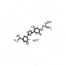 CC(C)N(C)c1cc(-c2nnc(-c3cc(F)c(OC[C@H](N)CO)cc3Cl)s2)cc(Cl)n1.Cl